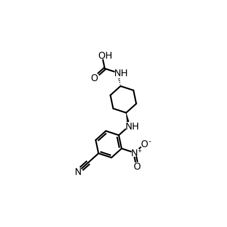 N#Cc1ccc(N[C@H]2CC[C@H](NC(=O)O)CC2)c([N+](=O)[O-])c1